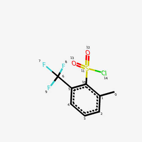 Cc1cccc(C(F)(F)F)c1S(=O)(=O)Cl